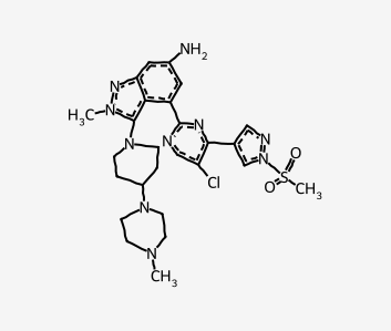 CN1CCN(C2CCN(c3c4c(-c5ncc(Cl)c(-c6cnn(S(C)(=O)=O)c6)n5)cc(N)cc4nn3C)CC2)CC1